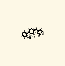 C(=C1CCC(c2ccccc2)CC1)c1ccncc1.Cl